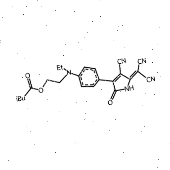 CCC(C)C(=O)OCCN(CC)c1ccc(C2=C(C#N)C(=C(C#N)C#N)NC2=O)cc1